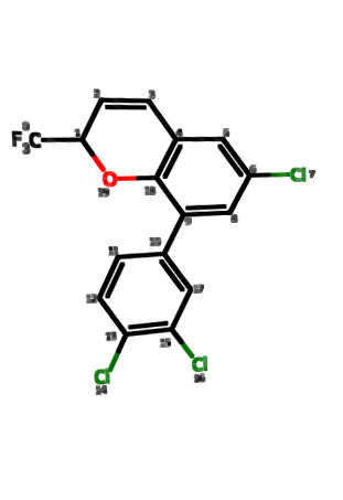 FC(F)(F)C1C=Cc2cc(Cl)cc(-c3ccc(Cl)c(Cl)c3)c2O1